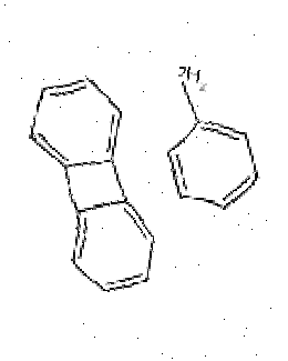 Pc1ccccc1.c1ccc2c(c1)-c1ccccc1-2